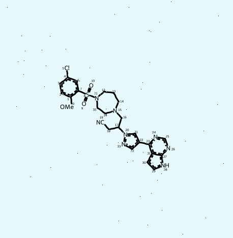 COc1ccc(Cl)cc1S(=O)(=O)N1CCCN(CC(CC#N)n2cc(-c3ncnc4[nH]ccc34)cn2)CC1